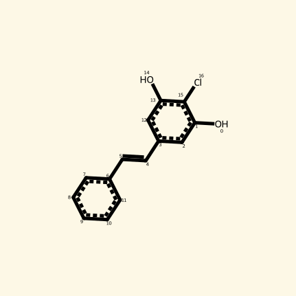 Oc1cc(C=Cc2ccccc2)cc(O)c1Cl